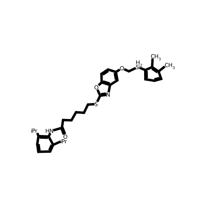 Cc1cccc([SiH2]COc2ccc3oc(SCCCCCC(=O)Nc4c(C(C)C)cccc4C(C)C)nc3c2)c1C